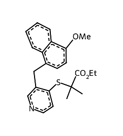 CCOC(=O)C(C)(C)Sc1ccncc1Cc1ccc(OC)c2ccccc12